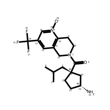 CC(C)C[C@]1(C(=O)N2CCc3c(cc(C(F)(F)F)c[n+]3[O-])C2)CC[C@@H](N)C1